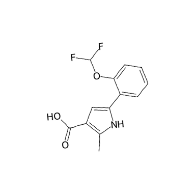 Cc1[nH]c(-c2ccccc2OC(F)F)cc1C(=O)O